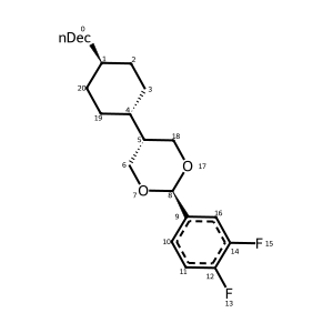 CCCCCCCCCC[C@H]1CC[C@H]([C@H]2CO[C@H](c3ccc(F)c(F)c3)OC2)CC1